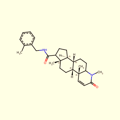 Cc1ccccc1CNC(=O)C1CC[C@H]2[C@@H]3CCC4N(C)C(=O)C=C[C@]4(C)[C@@H]3CC[C@]12C